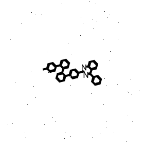 Cc1ccc(-c2ccccc2-c2ccccc2-c2ccc(-c3nc(-c4ccccc4)c4ccccc4n3)cc2)cc1